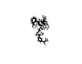 CC(C#N)c1cccc(C(=O)N(C)CCCNc2cc(-c3ccccc3Cl)nc3c(Br)cnn23)c1